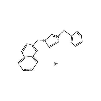 [Br-].c1ccc(C[n+]2ccn(Cc3ccc4ccccc4c3)c2)cc1